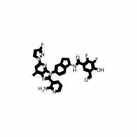 Cc1cc(-n2ccc(F)n2)nc2c1nc(-c1cccnc1N)n2-c1ccc2c(c1)CC[C@@H]2NC(=O)c1cc(C=O)c(O)c(F)c1F